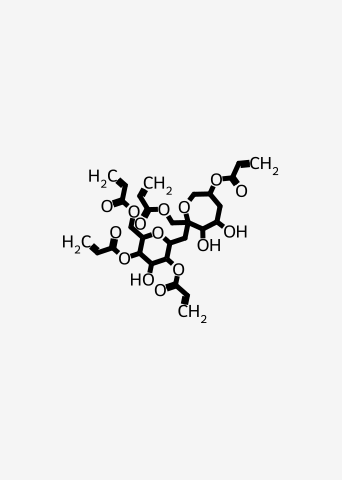 C=CC(=O)OCC1OC(CC2(COC(=O)C=C)OCC(OC(=O)C=C)CC(O)C2O)C(OC(=O)C=C)C(O)C1OC(=O)C=C